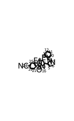 CCC(CC)C(c1ccnn1-c1ccccc1)N(C)S(=O)(=O)c1ccc(C#N)cc1